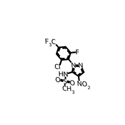 CS(=O)(=O)Nc1c([N+](=O)[O-])cnn1-c1c(F)cc(C(F)(F)F)cc1Cl